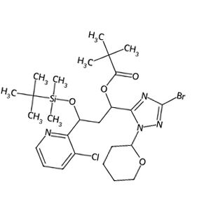 CC(C)(C)C(=O)OC(CC(O[Si](C)(C)C(C)(C)C)c1ncccc1Cl)c1nc(Br)nn1C1CCCCO1